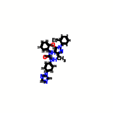 CCc1ccccc1-n1nc(C)cc1Oc1ccccc1NC(=O)Nc1ccc(-n2cncn2)cc1